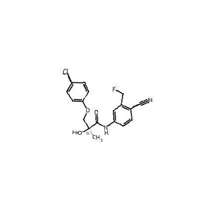 C[C@](O)(COc1ccc(Cl)cc1)C(=O)Nc1ccc(C#N)c(CF)c1